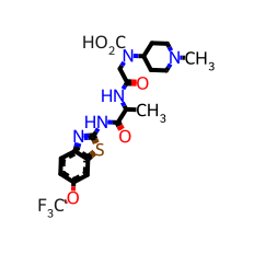 CC(NC(=O)CN(C(=O)O)C1CCN(C)CC1)C(=O)Nc1nc2ccc(OC(F)(F)F)cc2s1